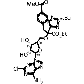 CCOC(=O)C(Cc1ccc(C(=O)OC)cc1)(OC[C@H]1O[C@@H](n2cnc3c(N)nc(Cl)nc32)[C@H](O)[C@@H]1O)c1nnn(C(C)(C)C)n1